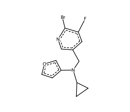 Fc1cc(CN(c2ccoc2)C2CC2)cnc1Br